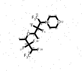 CC(OC(C)C(F)(F)C(N1CCOCC1)C(F)(F)F)C(F)(F)C(F)C(F)(F)F